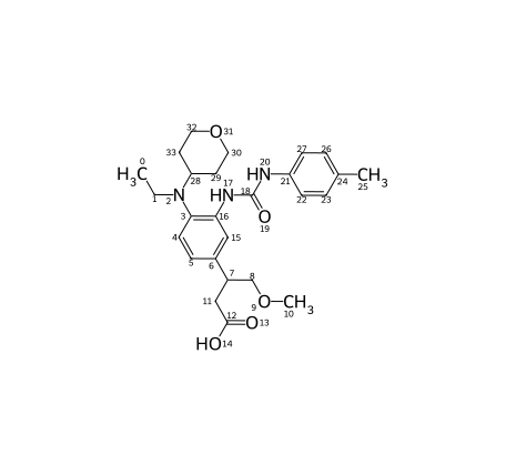 CCN(c1ccc(C(COC)CC(=O)O)cc1NC(=O)Nc1ccc(C)cc1)C1CCOCC1